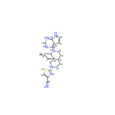 CC[C@]12CN(c3nc(C#N)cs3)CCC1CCN(c1ncnc3[nH]ccc13)C2